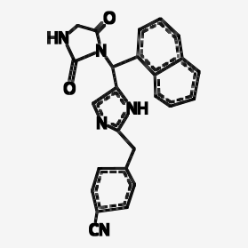 N#Cc1ccc(Cc2ncc(C(c3cccc4ccccc34)N3C(=O)CNC3=O)[nH]2)cc1